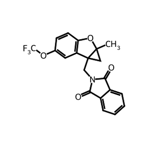 CC12CC1(CN1C(=O)c3ccccc3C1=O)c1cc(OC(F)(F)F)ccc1O2